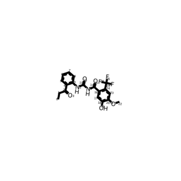 CCC(=O)c1ccccc1NC(=O)NC(=O)c1cc(O)c(OC)cc1C(F)(F)F